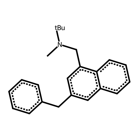 CN(Cc1cc(Cc2ccccc2)cc2ccccc12)C(C)(C)C